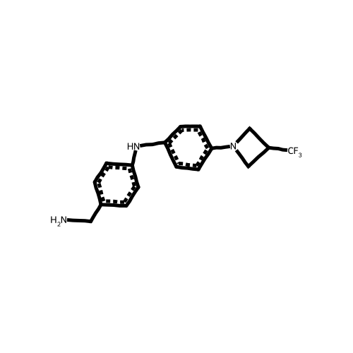 NCc1ccc(Nc2ccc(N3CC(C(F)(F)F)C3)cc2)cc1